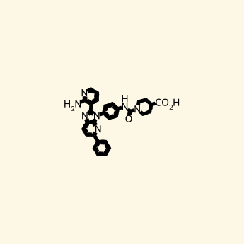 Nc1ncccc1-c1nc2ccc(-c3ccccc3)nc2n1-c1ccc(NC(=O)N2CCC(C(=O)O)CC2)cc1